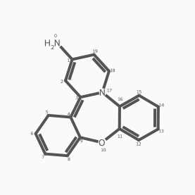 NC1=CC2=C3CC=CC=C3Oc3ccccc3N2C=C1